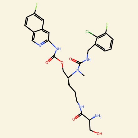 CN(C(=O)NCc1cccc(F)c1Cl)[C@@H](CCCNC(=O)[C@@H](N)CO)COC(=O)Nc1cc2cc(F)ccc2cn1